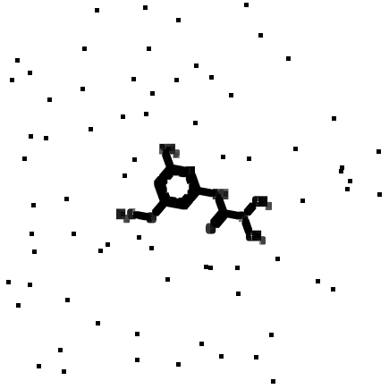 COc1cc(N)nc(NC(=O)N(C)C)c1